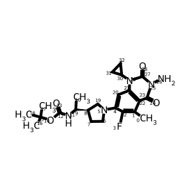 Cc1c(F)c(N2CC[C@@H](C(C)NC(=O)OC(C)(C)C)C2)cc2c1c(=O)n(N)c(=O)n2C1CC1